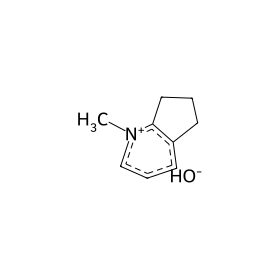 C[n+]1cccc2c1CCC2.[OH-]